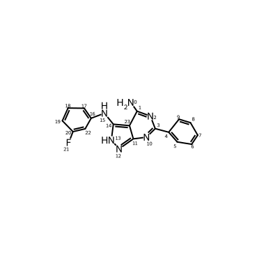 Nc1nc(-c2ccccc2)nc2n[nH]c(Nc3cccc(F)c3)c12